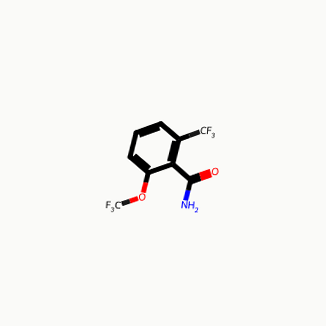 NC(=O)c1c(OC(F)(F)F)cccc1C(F)(F)F